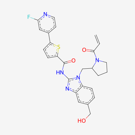 C=CC(=O)N1CCCC1Cn1c(NC(=O)c2ccc(-c3ccnc(F)c3)s2)nc2cc(CO)ccc21